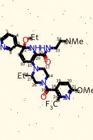 CCOC1(c2cccnc2)C=CC(N2CCN(C(=O)c3ccc(OC)nc3C(F)(F)F)C[C@H]2CC)=C(C(=O)NCCNC)N1